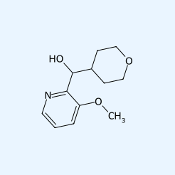 COc1cccnc1C(O)C1CCOCC1